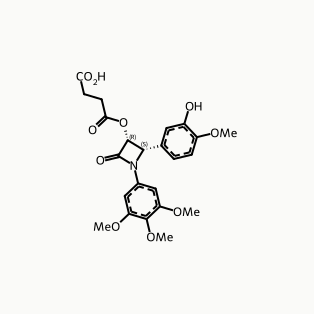 COc1ccc([C@H]2[C@@H](OC(=O)CCC(=O)O)C(=O)N2c2cc(OC)c(OC)c(OC)c2)cc1O